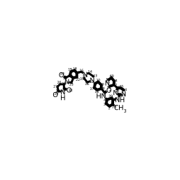 Cc1ccc(NC(=O)c2ccc(N3CCN(Cc4ccc5c(c4)CN(C4CCC(=O)NC4=O)C5=O)CC3)cc2)cc1Nc1nccc(-c2cccnc2)n1